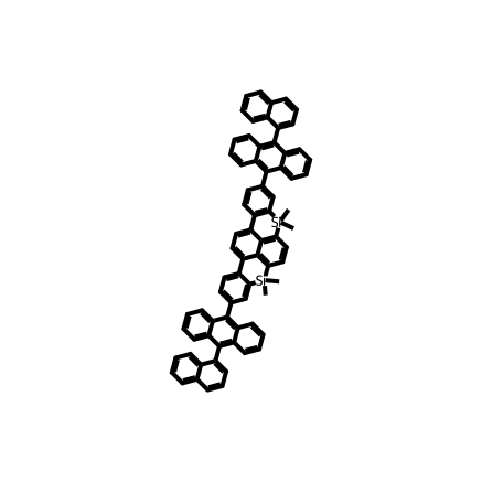 C[Si]1(C)c2cc(-c3c4ccccc4c(-c4cccc5ccccc45)c4ccccc34)ccc2-c2ccc3c4c(ccc1c24)[Si](C)(C)c1cc(-c2c4ccccc4c(-c4cccc5ccccc45)c4ccccc24)ccc1-3